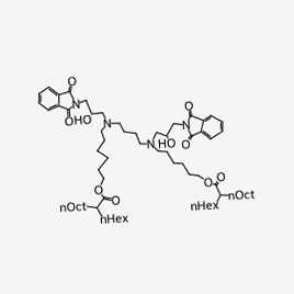 CCCCCCCCC(CCCCCC)C(=O)OCCCCCCN(CCCCN(CCCCCCOC(=O)C(CCCCCC)CCCCCCCC)CC(O)CN1C(=O)c2ccccc2C1=O)CC(O)CN1C(=O)c2ccccc2C1=O